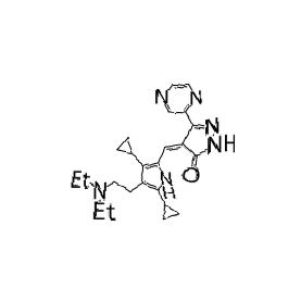 CCN(CC)CCc1c(C2CC2)[nH]c(C=C2C(=O)NN=C2c2cnccn2)c1C1CC1